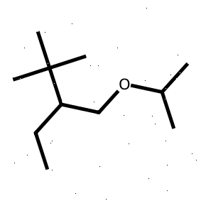 CCC(COC(C)C)C(C)(C)C